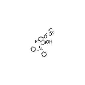 CC1(C)OC[C@H](COc2ccc(F)c3c2B(O)C[C@@H]3CN(Cc2ccccc2)Cc2ccccc2)O1